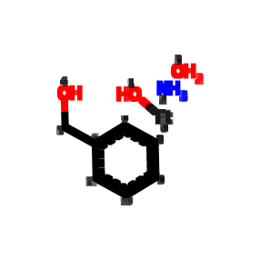 CCO.N.O.OCc1ccccc1